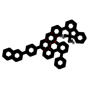 CC1(C)c2ccccc2-c2cccc(-c3cccc(N(c4ccc(-c5ccc(-c6ccc7ccccc7c6)cc5)cc4)c4cccc(-c5ccccc5)c4-c4ccccc4-c4ccccc4)c3)c21